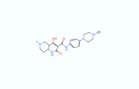 CCN1CCN(c2ccc(NC(=O)C3=C(O)C4CN(C)CCC4NC3=O)cc2)CC1